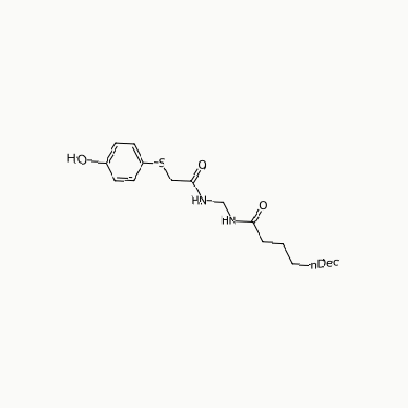 CCCCCCCCCCCCCC(=O)NCNC(=O)CSc1ccc(O)cc1